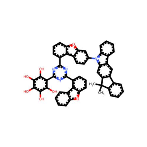 CC1(C)c2ccccc2-c2cc3c4ccccc4n(-c4ccc5c(c4)oc4cccc(-c6nc(-c7c(O)c(O)c(O)c(O)c7O)nc(-c7cccc8oc9ccccc9c78)n6)c45)c3cc21